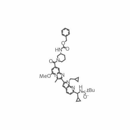 COc1cc(C(=O)N2CCC[C@@H](NC(=O)OCc3ccccc3)C2)cc2nc(-c3cc4ccc(C(N[S@+]([O-])C(C)(C)C)C5CC5)nc4n3CC3CC3)c(C)n12